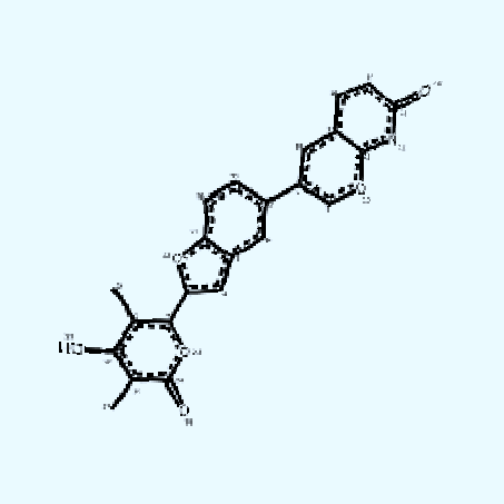 Cc1c(-c2cc3cc(-c4coc5nc(=O)ccc-5c4)ccc3o2)oc(=O)c(C)c1O